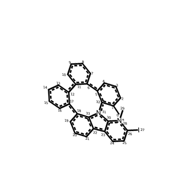 Cc1cccc2c3ccccc3c3ccccc3c3cccc4c5ccc(I)[n+](C)c5n(c12)c34